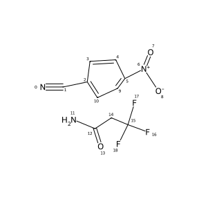 N#Cc1ccc([N+](=O)[O-])cc1.NC(=O)CC(F)(F)F